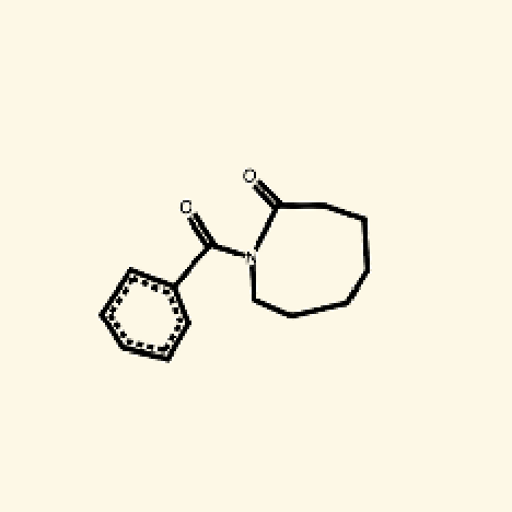 O=C1CCCCCCN1C(=O)c1ccccc1